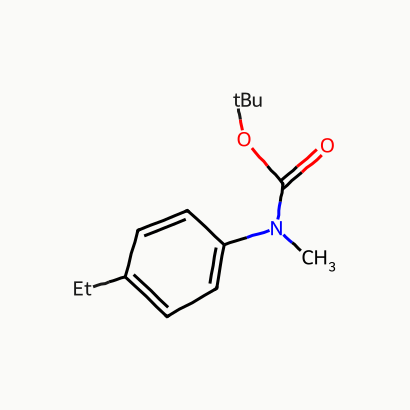 CCc1ccc(N(C)C(=O)OC(C)(C)C)cc1